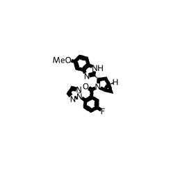 COc1ccc2[nH]c([C@@H]3C[C@H]4CC4N3C(=O)c3cc(F)ccc3-n3nccn3)nc2c1